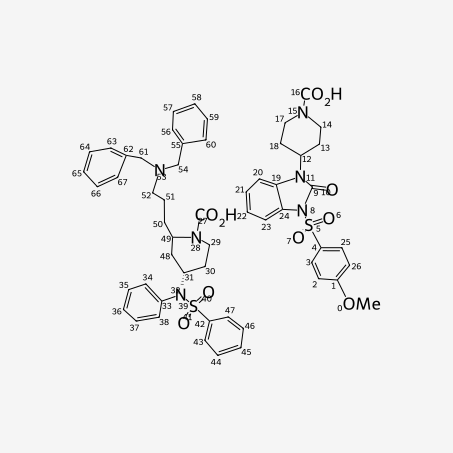 COc1ccc(S(=O)(=O)n2c(=O)n(C3CCN(C(=O)O)CC3)c3ccccc32)cc1.O=C(O)N1CC[C@H](N(c2ccccc2)S(=O)(=O)c2ccccc2)CC1CCCN(Cc1ccccc1)Cc1ccccc1